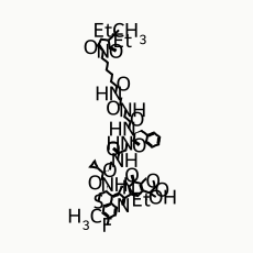 CCC(C)(CC)C1CC(=O)N(CCCCCC(=O)NCC(=O)NCC(=O)N[C@@H](Cc2ccccc2)C(=O)NCC(=O)NCO[C@H](C(=O)N[C@H]2CSc3c(C)c(F)cc4nc5c(c2c34)Cn2c-5cc3c(c2=O)COC(=O)[C@]3(O)CC)C2CC2)C1=O